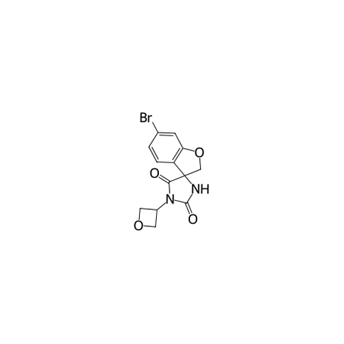 O=C1NC2(COc3cc(Br)ccc32)C(=O)N1C1COC1